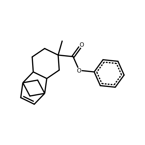 CC1(C(=O)Oc2ccccc2)CCC2C(C1)C13C=CC2(C1)C3